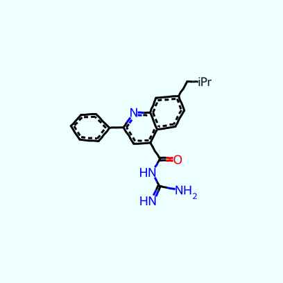 CC(C)Cc1ccc2c(C(=O)NC(=N)N)cc(-c3ccccc3)nc2c1